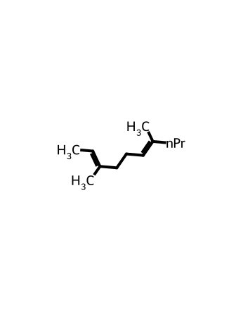 CC=C(C)CCC=C(C)CCC